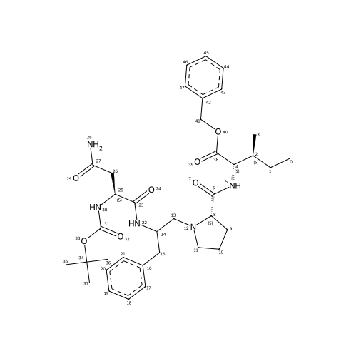 CC[C@H](C)[C@H](NC(=O)[C@@H]1CCCN1CC(Cc1ccccc1)NC(=O)[C@H](CC(N)=O)NC(=O)OC(C)(C)C)C(=O)OCc1ccccc1